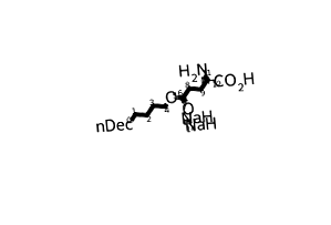 CCCCCCCCCCCCCCOC(=O)CC[C@H](N)C(=O)O.[NaH].[NaH]